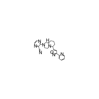 N#Cc1nccnc1N1CCN2C(c3cc(-c4ccccn4)no3)CCC[C@H]2C1